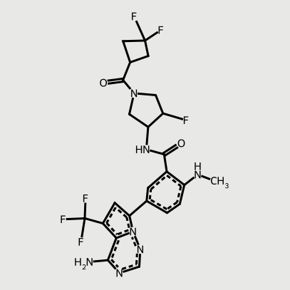 CNc1ccc(-c2cc(C(F)(F)F)c3c(N)ncnn23)cc1C(=O)NC1CN(C(=O)C2CC(F)(F)C2)CC1F